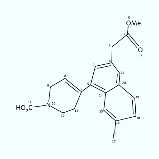 COC(=O)Cc1cc(C2=CCN(C(=O)O)CC2)c2cc(F)ccc2c1